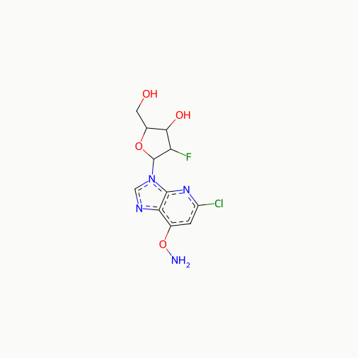 NOc1cc(Cl)nc2c1ncn2C1OC(CO)C(O)C1F